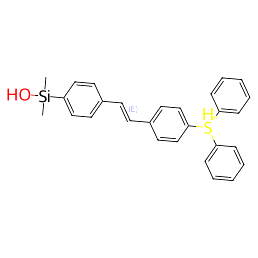 C[Si](C)(O)c1ccc(/C=C/c2ccc([SH](c3ccccc3)c3ccccc3)cc2)cc1